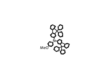 COc1ccc(N(c2ccc3c(c2)C(c2ccccc2)(c2ccccc2)c2ccccc2-3)c2ccc3c(c2)C(c2ccccc2)(c2ccccc2)c2ccccc2-3)cc1